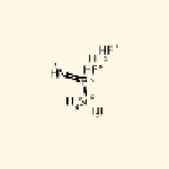 F.F.F.F.N=P[SiH3]